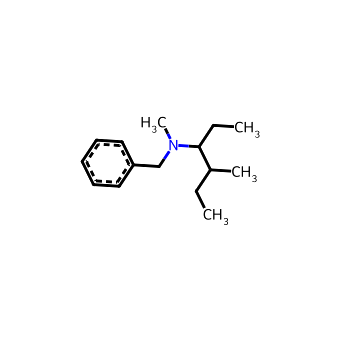 CCC(C)C(CC)N(C)Cc1ccccc1